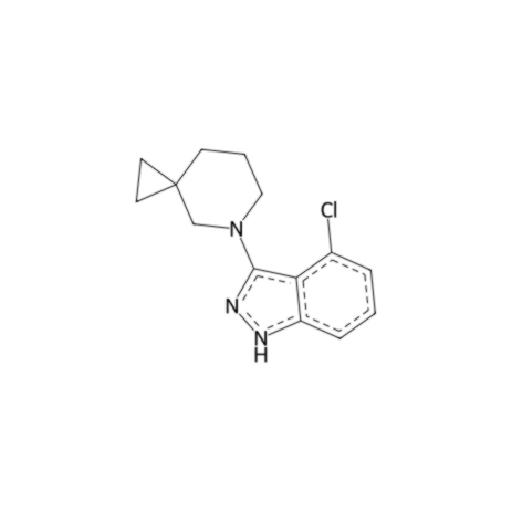 Clc1cccc2[nH]nc(N3CCCC4(CC4)C3)c12